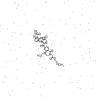 CCN1CCN(CC(=O)OCCOC)C(=O)c2ccc(Nc3ncc(Cl)c(N[C@H]4[C@@H]5CC[C@@H](C5)[C@@H]4C(N)=O)n3)cc21